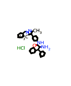 Cc1nn(Cc2ccccc2)c(C)c1-c1ccc(NC(=O)C(N)C(c2ccccc2)c2ccccc2)cc1.Cl